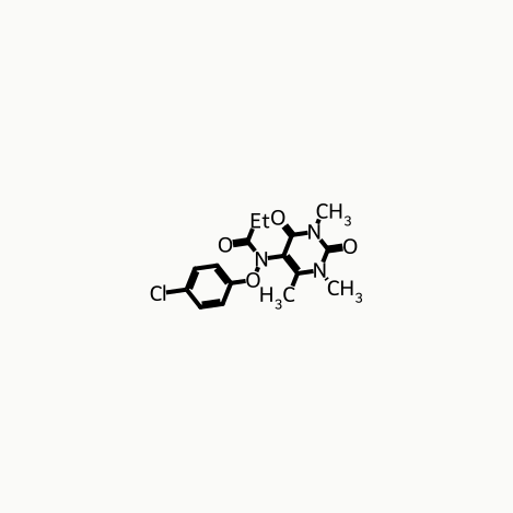 CCC(=O)N(Oc1ccc(Cl)cc1)c1c(C)n(C)c(=O)n(C)c1=O